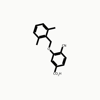 Cc1cccc(C)c1COc1cc(C(=O)O)ccc1C#N